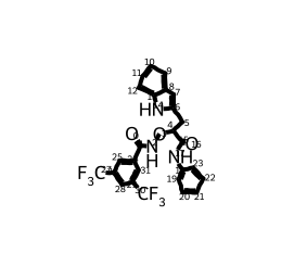 O=C(NOC(Cc1cc2ccccc2[nH]1)C(=O)Nc1ccccc1)c1cc(C(F)(F)F)cc(C(F)(F)F)c1